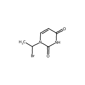 CC(Br)n1ccc(=O)[nH]c1=O